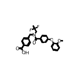 COc1ccccc1Oc1ccc(C(=O)N(Cc2ccc(C(=O)O)cc2)CC(C)(F)F)cc1